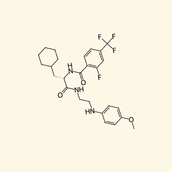 COc1ccc(NCCNC(=O)[C@H](CC2CCCCC2)NC(=O)c2ccc(C(F)(F)F)cc2F)cc1